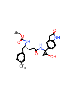 CC(C)(C)OC(=O)N[C@H](CCC(=O)NC1(c2ccc3c(c2)CC(=O)N3)C=C1O)Cc1ccc(C(F)(F)F)cc1